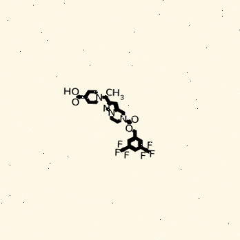 CC(c1cc2n(n1)CCN(C(=O)OCc1cc(C(F)(F)F)cc(C(F)(F)F)c1)C2)N1CCC(C(=O)O)CC1